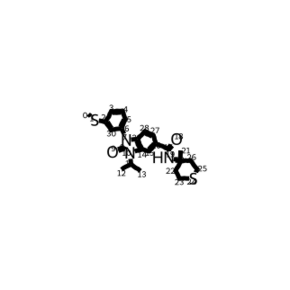 CSc1cccc(-n2c(=O)n(C(C)C)c3cc(C(=O)NC4(C)CCSCC4)ccc32)c1